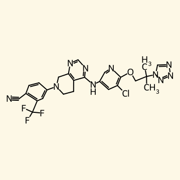 CC(C)(COc1ncc(Nc2ncnc3c2CCN(c2ccc(C#N)c(C(F)(F)F)c2)C3)cc1Cl)n1cnnn1